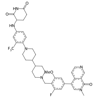 COc1cc(-c2cn(C)c(=O)c3cnccc23)cc(F)c1CN1CCC(C2CCN(c3ccc(NC4CCC(=O)NC4=O)cc3C(F)(F)F)CC2)CC1